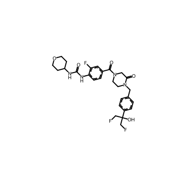 O=C(Nc1ccc(C(=O)N2CCN(Cc3ccc(C(O)(CF)CF)cc3)C(=O)C2)cc1F)NC1CCOCC1